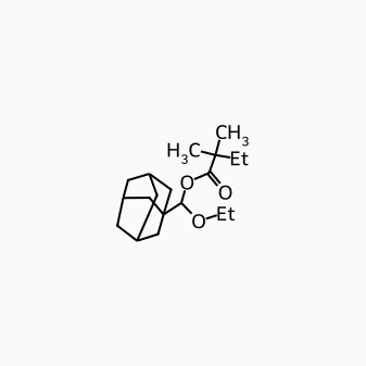 CCOC(OC(=O)C(C)(C)CC)C12CC3CC(CC(C3)C1)C2